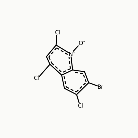 [O-][n+]1c(Cl)cc(Cl)c2cc(Cl)c(Br)cc21